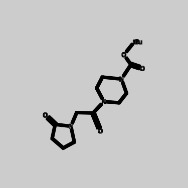 CC(C)(C)OC(=O)N1CCN(C(=O)CN2CCCC2=O)CC1